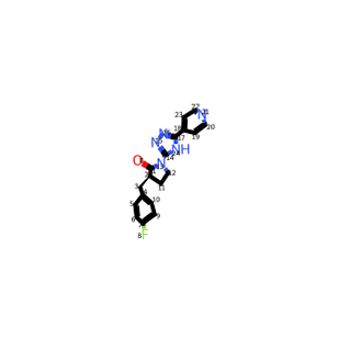 O=C1[C@H](Cc2ccc(F)cc2)CCN1c1nnc(-c2ccncc2)[nH]1